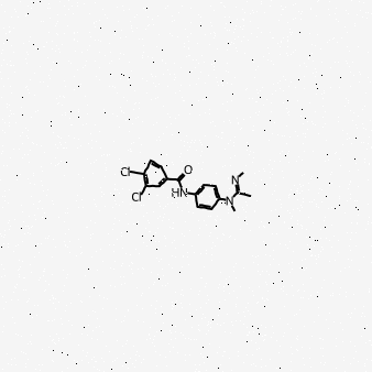 CN=C(C)N(C)c1ccc(NC(=O)c2ccc(Cl)c(Cl)c2)cc1